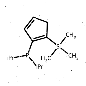 CC(C)P(C1=C([Si](C)(C)C)CC=C1)C(C)C